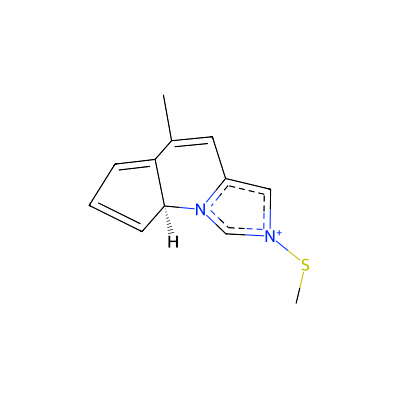 CS[n+]1cc2n(c1)[C@H]1C=CC=C1C(C)=C2